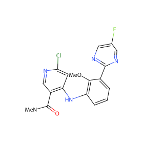 CNC(=O)c1cnc(Cl)cc1Nc1cccc(-c2ncc(F)cn2)c1OC